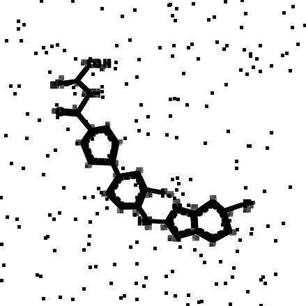 CCC[C@H](NC(=O)c1ccc(-c2ccc(Nc3nc4ccc(C(C)C)cc4s3)c(F)c2)cc1)C(=O)O